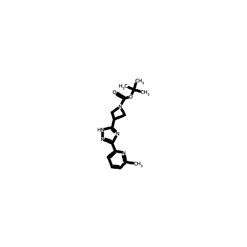 Cc1cccc(-c2n[nH]c(C3CN(C(=O)OC(C)(C)C)C3)n2)n1